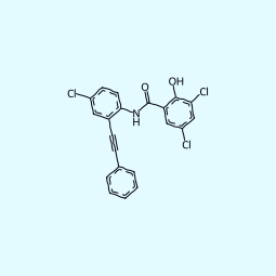 O=C(Nc1ccc(Cl)cc1C#Cc1ccccc1)c1cc(Cl)cc(Cl)c1O